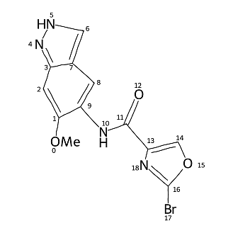 COc1cc2n[nH]cc2cc1NC(=O)c1coc(Br)n1